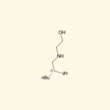 CCCC[C@H](CNCCO)C(C)C